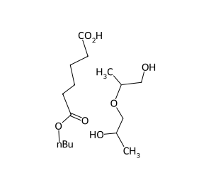 CC(O)COC(C)CO.CCCCOC(=O)CCCCC(=O)O